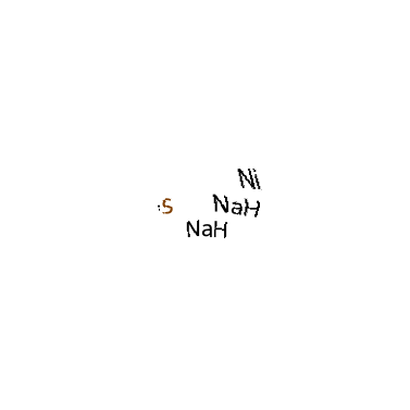 [NaH].[NaH].[Ni].[S]